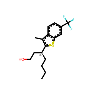 CCCC[C@@H](CCO)c1sc2cc(C(F)(F)F)ccc2c1C